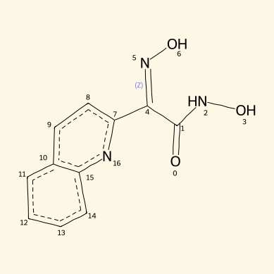 O=C(NO)/C(=N\O)c1ccc2ccccc2n1